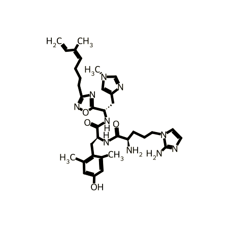 C=C/C(C)=C\CCCc1noc([C@H](Cc2cn(C)cn2)NC(=O)[C@H](Cc2c(C)cc(O)cc2C)NC(=O)[C@H](N)CCCn2ccnc2N)n1